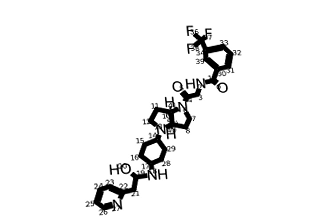 O=C(NCC(=O)N1CC[C@@H]2[C@H]1CCN2C1CCC(NC(O)Cc2ccccn2)CC1)c1cccc(C(F)(F)F)c1